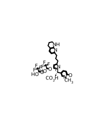 Cn1cc([C@H](CC(=O)O)n2ccc(CCCc3ccc4c(n3)NCCC4)n2)ccc1=O.O=C(O)C(F)(F)F.O=C(O)C(F)(F)F